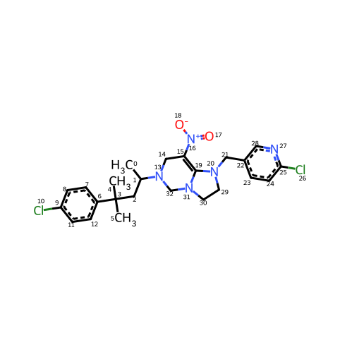 CC(CC(C)(C)c1ccc(Cl)cc1)N1CC([N+](=O)[O-])=C2N(Cc3ccc(Cl)nc3)CCN2C1